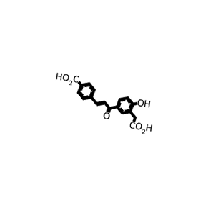 O=C(O)Cc1cc(C(=O)C=Cc2ccc(C(=O)O)cc2)ccc1O